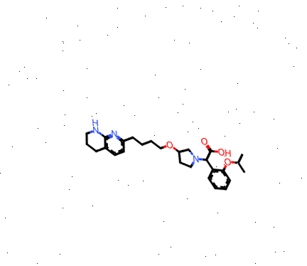 CC(C)Oc1ccccc1C(C(=O)O)N1CCC(OCCCCc2ccc3c(n2)NCCC3)C1